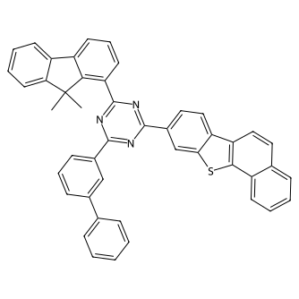 CC1(C)c2ccccc2-c2cccc(-c3nc(-c4cccc(-c5ccccc5)c4)nc(-c4ccc5c(c4)sc4c6ccccc6ccc54)n3)c21